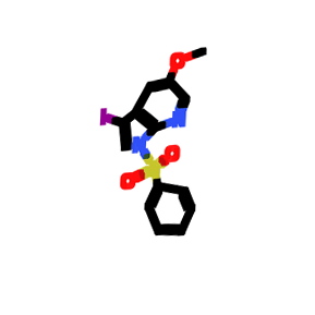 COc1cnc2c(c1)c(I)cn2S(=O)(=O)c1ccccc1